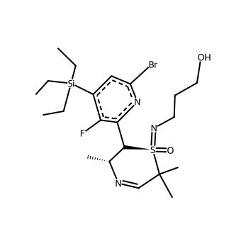 CC[Si](CC)(CC)c1cc(Br)nc(C2[C@@H](C)N=CC(C)(C)[S@@]2(=O)=NCCCO)c1F